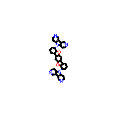 c1cc(-n2c3ccncc3c3cnccc32)c2oc3cc4c(cc3c2c1)oc1c(-n2c3ccncc3c3cnccc32)cccc14